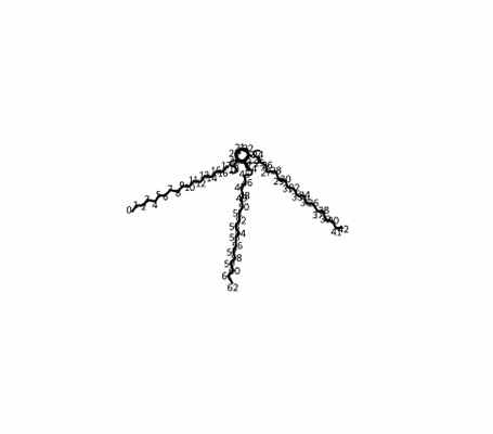 CCCCCCCCCCCCCCCCCCSc1c[c]cc(SCCCCCCCCCCCCCCCCCC)c1SCCCCCCCCCCCCCCCCCC